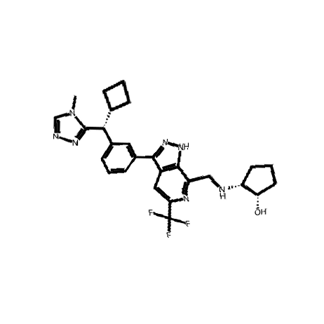 Cn1cnnc1[C@@H](c1cccc(-c2n[nH]c3c(CN[C@@H]4CCC[C@@H]4O)nc(C(F)(F)F)cc23)c1)C1CCC1